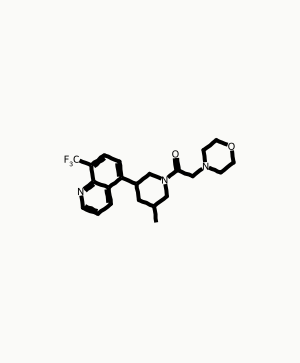 CC1CC(c2ccc(C(F)(F)F)c3ncccc23)CN(C(=O)CN2CCOCC2)C1